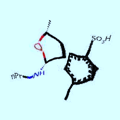 CCCN[C@H]1CC[C@@H](C)O1.Cc1ccc(S(=O)(=O)O)cc1